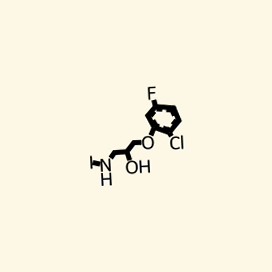 OC(CNI)COc1cc(F)ccc1Cl